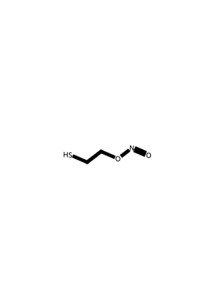 O=NOCCS